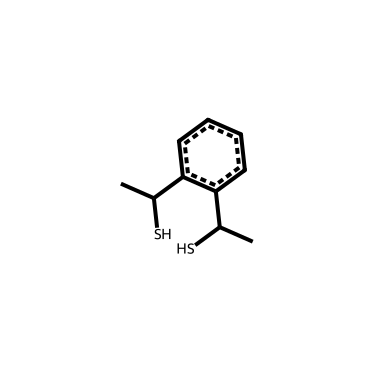 CC(S)c1ccccc1C(C)S